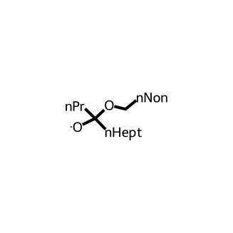 CCCCCCCCCCOC([O])(CCC)CCCCCCC